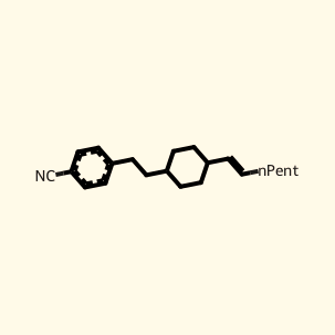 CCCCC/C=C/C1CCC(CCc2ccc(C#N)cc2)CC1